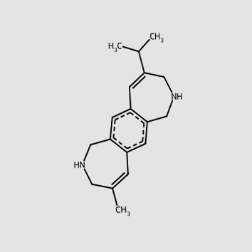 CC1=Cc2cc3c(cc2CNC1)C=C(C(C)C)CNC3